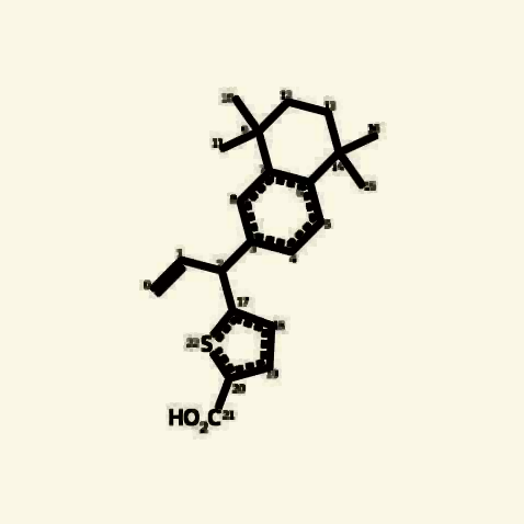 C=CC(c1ccc2c(c1)C(C)(C)CCC2(C)C)c1ccc(C(=O)O)s1